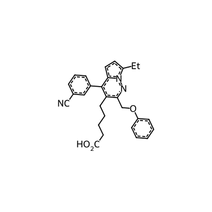 CCc1ccc2c(-c3cccc(C#N)c3)c(CCCCC(=O)O)c(COc3ccccc3)nn12